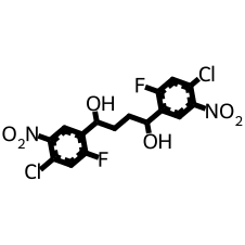 O=[N+]([O-])c1cc(C(O)CCC(O)c2cc([N+](=O)[O-])c(Cl)cc2F)c(F)cc1Cl